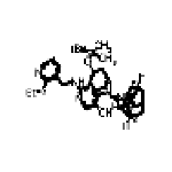 CCSc1ncccc1CNc1ncc(C#N)c(NC[C@]23CC4C[C@H](C2)[C@@H](NC[C@H]2CC[C@H](O[Si](C)(C)C(C)(C)C)CC2)[C@@H](C4)C3)n1